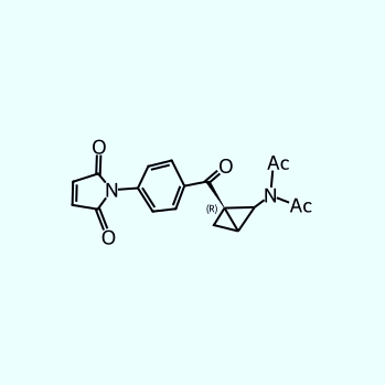 CC(=O)N(C(C)=O)C1C2C[C@@]21C(=O)c1ccc(N2C(=O)C=CC2=O)cc1